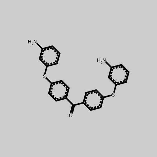 Nc1cccc(Sc2ccc(C(=O)c3ccc(Sc4cccc(N)c4)cc3)cc2)c1